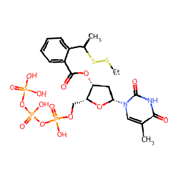 CCSSC(C)c1ccccc1C(=O)O[C@@H]1C[C@H](n2cc(C)c(=O)[nH]c2=O)O[C@@H]1COP(=O)(O)OP(=O)(O)OP(=O)(O)O